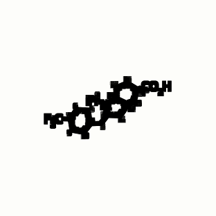 CC(C)n1c(Cc2ccc(C(F)(F)F)cc2)cc2cc(C(=O)O)ccc21